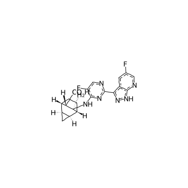 O=C(O)[C@H]1[C@H]2CC[C@H]([C@H]3C[C@H]32)[C@@H]1Nc1nc(-c2n[nH]c3ncc(F)cc23)ncc1F